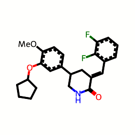 COc1ccc(C2CNC(=O)C(=Cc3cccc(F)c3F)C2)cc1OC1CCCC1